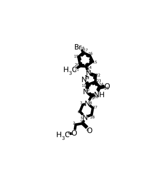 COCC(=O)N1CCN(c2nc3nn(-c4ccc(Br)cc4C)cc3c(=O)[nH]2)CC1